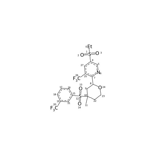 CCS(=O)(=O)c1cnc(C2CC(C)(S(=O)(=O)c3cccc(C(F)(F)F)c3)CCO2)c(C(F)(F)F)c1